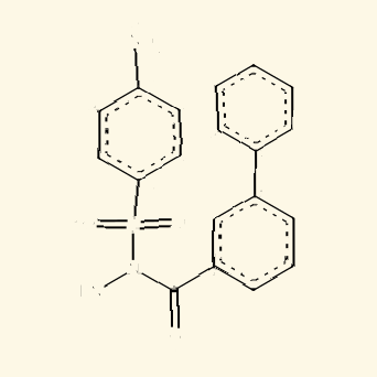 NN(C(=O)c1cccc(-c2ccccc2)c1)S(=O)(=O)c1ccc([N+](=O)[O-])cc1